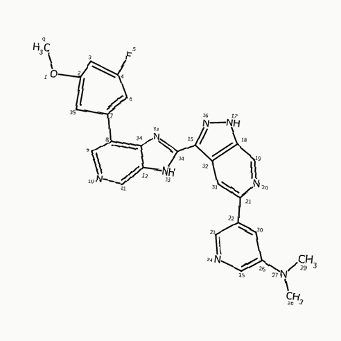 COc1cc(F)cc(-c2cncc3[nH]c(-c4n[nH]c5cnc(-c6cncc(N(C)C)c6)cc45)nc23)c1